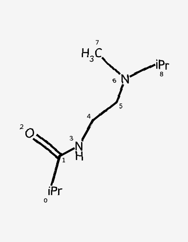 CC(C)C(=O)NCCN(C)C(C)C